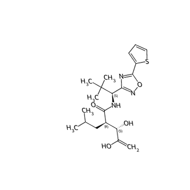 C=C(O)[C@@H](O)[C@@H](CC(C)C)C(=O)N[C@H](c1noc(-c2cccs2)n1)C(C)(C)C